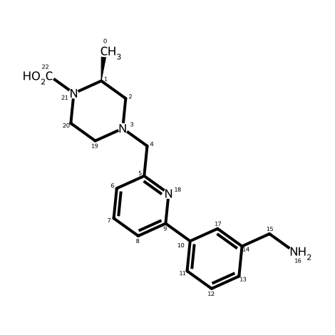 C[C@H]1CN(Cc2cccc(-c3cccc(CN)c3)n2)CCN1C(=O)O